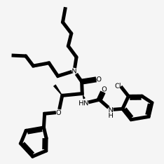 CCCCCN(CCCCC)C(=O)[C@H](NC(=O)Nc1ccccc1Cl)[C@H](C)OCc1ccccc1